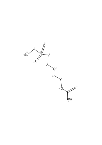 CC(C)(C)CS(=O)(=O)CCOCCOC(=O)C(C)(C)C